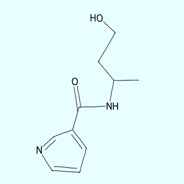 CC(CCO)NC(=O)c1cccnc1